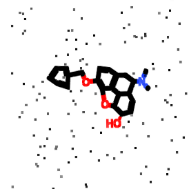 CN(C)C1Cc2ccc(OCc3ccccc3)c3c2C2C1C=C[C@H](O)C2O3